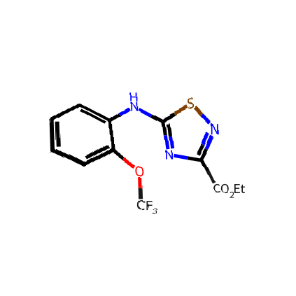 CCOC(=O)c1nsc(Nc2ccccc2OC(F)(F)F)n1